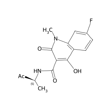 CC(=O)[C@H](C)NC(=O)c1c(O)c2ccc(F)cc2n(C)c1=O